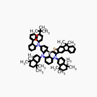 CC(C)(C)c1ccc(N(c2ccc3c(c2)N(c2ccc4c(c2)C(C)(C)CCC4(C)C)c2cccc4c2B3c2sc3cc5c(cc3c2N4c2ccc3c(c2)C(C)(C)CCC3(C)C)-c2ccccc2C5(C)C)c2ccccc2-c2ccccc2)cc1